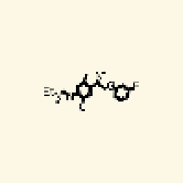 CCN(C)C=Nc1cc(C)c(C(COc2cccc(F)c2)=NC)cc1Cl